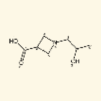 [CH2]C(O)CN1CC(C(=O)O)C1